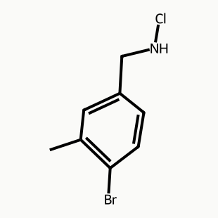 Cc1cc(CNCl)ccc1Br